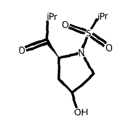 CC(C)C(=O)[C@@H]1CC(O)CN1S(=O)(=O)C(C)C